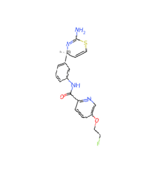 C[C@@]1(c2cccc(NC(=O)c3ccc(OCCF)cn3)c2)C=CSC(N)=N1